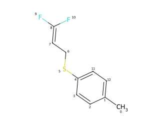 Cc1ccc(SCC=C(F)F)cc1